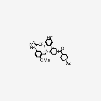 COc1ccc(-n2nnnc2C(F)(F)F)cc1CN[C@H]1CCN(C(=O)C2CCN(C(C)=O)CC2)C[C@H]1c1ccccc1.Cl